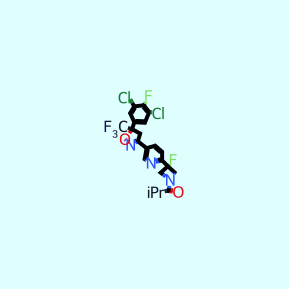 CC(C)C(=O)N1CC(F)(c2ccc(C3=NOC(c4cc(Cl)c(F)c(Cl)c4)(C(F)(F)F)C3)cn2)C1